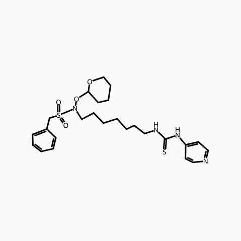 O=S(=O)(Cc1ccccc1)N(CCCCCCCNC(=S)Nc1ccncc1)OC1CCCCO1